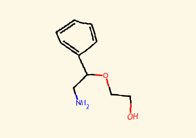 NCC(OCCO)c1ccccc1